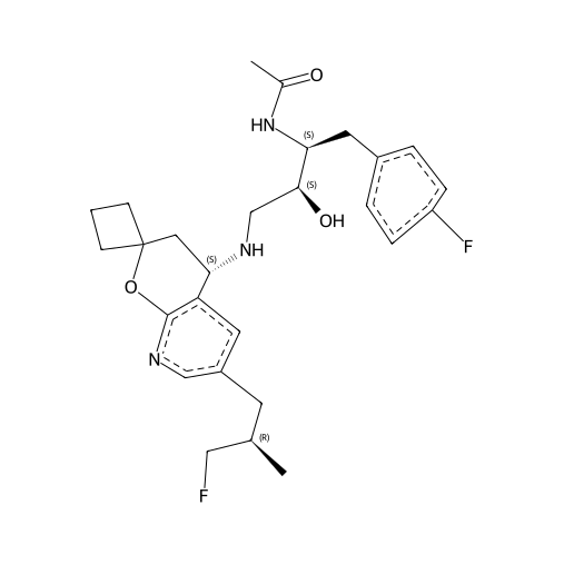 CC(=O)N[C@@H](Cc1ccc(F)cc1)[C@@H](O)CN[C@H]1CC2(CCC2)Oc2ncc(C[C@@H](C)CF)cc21